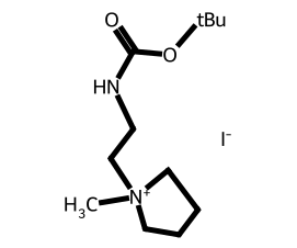 CC(C)(C)OC(=O)NCC[N+]1(C)CCCC1.[I-]